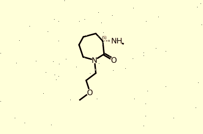 CN[C@H]1CCCCN(CCOC)C1=O